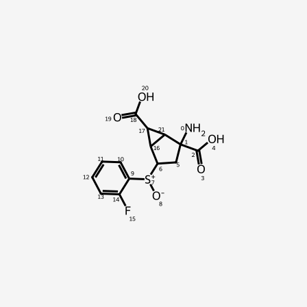 NC1(C(=O)O)CC([S+]([O-])c2ccccc2F)C2C(C(=O)O)C21